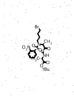 C[C@H](NOC(=O)[C@H](C)N(CCCCBr)S(=O)(=O)c1ccccc1[N+](=O)[O-])C(=O)OC(C)(C)C